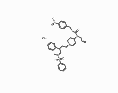 C=CCN(C(=O)OCc1ccc([N+](=O)[O-])cc1)C1CCN(CCC(CN(C)S(=O)(=O)c2ccccc2)c2ccccc2)CC1.Cl